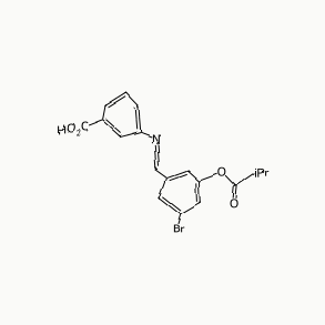 CC(C)C(=O)Oc1cc(Br)cc(C=Nc2cccc(C(=O)O)c2)c1